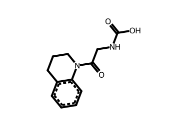 O=C(O)NCC(=O)N1CCCc2ccccc21